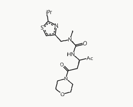 CC(=O)C(CC(=O)N1CCOCC1)NC(=O)N(C)Cc1csc(C(C)C)n1